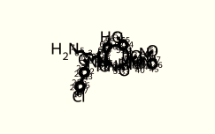 C=C([C@H](CCCCN)NC(=O)c1ccc(-c2ccc(Cl)cc2)cc1)N(C)[C@@H]1C(=O)N[C@@H](C)C(=O)N[C@H](C(=O)N[C@@H](C)C(=C)N2CCCC[C@H]2C(N)=O)Cc2ccc(O)c(c2)-c2cc1ccc2C